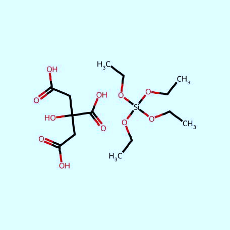 CCO[Si](OCC)(OCC)OCC.O=C(O)CC(O)(CC(=O)O)C(=O)O